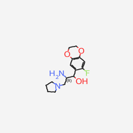 N[C@H](CN1CCCC1)C(O)c1cc2c(cc1F)OCCO2